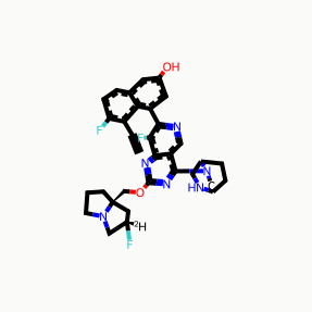 [2H][C@@]1(F)CN2CCC[C@]2(COc2nc(N3CC4CCC3CN4)c3cnc(-c4cc(O)cc5ccc(F)c(C#C)c45)c(F)c3n2)C1